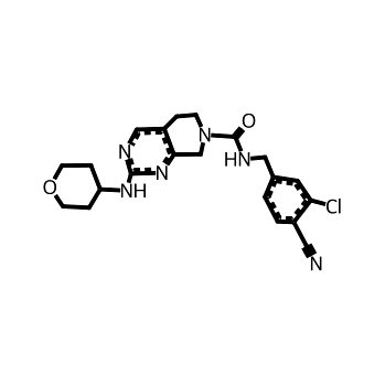 N#Cc1ccc(CNC(=O)N2CCc3cnc(NC4CCOCC4)nc3C2)cc1Cl